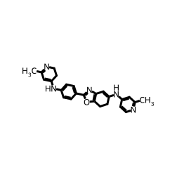 CC1=NCCC(Nc2ccc(-c3nc4c(o3)CCC(Nc3ccnc(C)c3)=C4)cc2)=C1